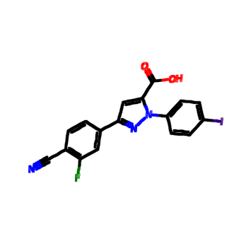 N#Cc1ccc(-c2cc(C(=O)O)n(-c3ccc(I)cc3)n2)cc1F